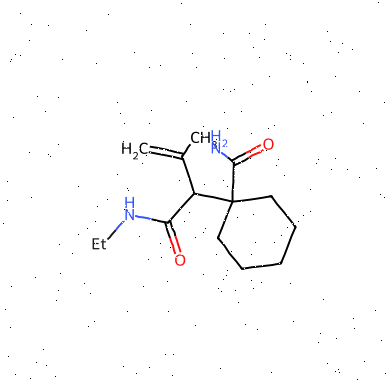 C=C(C)C(C(=O)NCC)C1(C(N)=O)CCCCC1